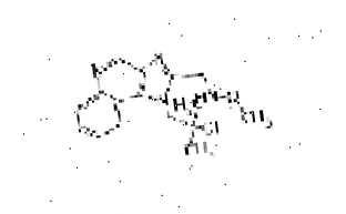 CONCc1nc2cnc3ccccc3c2n1CC(C)(C)O